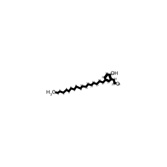 CCCCCCCCCCCCCCCCCCc1ccc(O)c(CC=O)c1